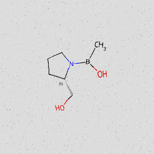 CB(O)N1CCC[C@H]1CO